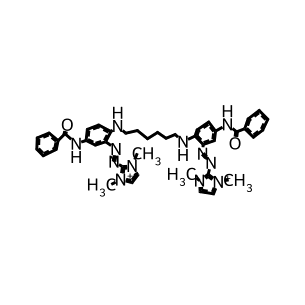 Cn1cc[n+](C)c1/N=N/c1cc(NC(=O)c2ccccc2)ccc1NCCCCCCNc1ccc(NC(=O)c2ccccc2)cc1/N=N/c1n(C)cc[n+]1C